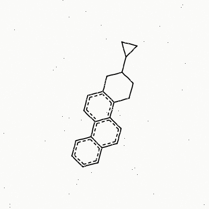 c1ccc2c(c1)ccc1c3c(ccc12)CC(C1CC1)CC3